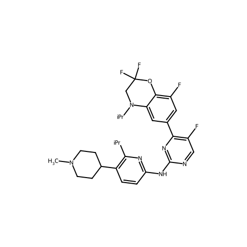 CC(C)c1nc(Nc2ncc(F)c(-c3cc(F)c4c(c3)N(C(C)C)CC(F)(F)O4)n2)ccc1C1CCN(C)CC1